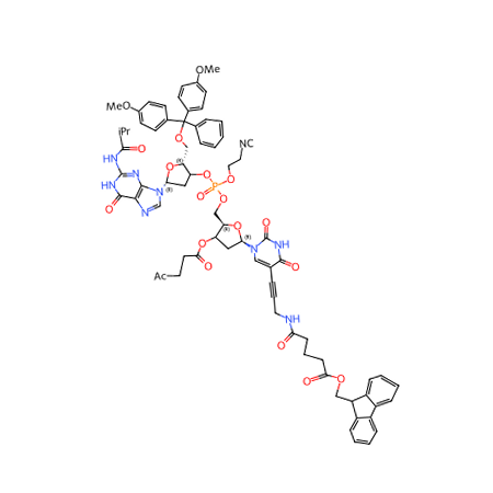 [C-]#[N+]CCOP(=O)(OC[C@H]1O[C@@H](n2cc(C#CCNC(=O)CCCC(=O)OCC3c4ccccc4-c4ccccc43)c(=O)[nH]c2=O)CC1OC(=O)CCC(C)=O)OC1C[C@H](n2cnc3c(=O)[nH]c(NC(=O)C(C)C)nc32)O[C@@H]1COC(c1ccccc1)(c1ccc(OC)cc1)c1ccc(OC)cc1